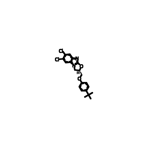 CC(C)(C)c1ccc(OC[C@@H]2Cn3c(nc4cc(Cl)c(Cl)cc43)O2)cc1